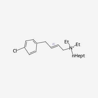 CCCCCCC[N+](CC)(CC)C/C=C/Cc1ccc(Cl)cc1